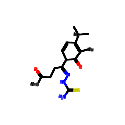 COC(=O)CCC(=NNC(N)=S)C1C=CC([SiH](C)C)=C(C(C)(C)C)C1=O